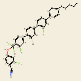 CCCCCc1ccc(-c2ccc(-c3ccc(-c4ccc(C(F)(F)Oc5ccc(C#N)c(F)c5)c(F)c4)c(F)c3)c(F)c2)cc1